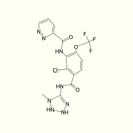 CN1NNN=C1NC(=O)c1ccc(OC(F)(F)F)c(NC(=O)c2cccnn2)c1Cl